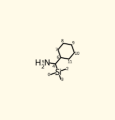 C[Si](C)(C)C(N)C1CCCCC1